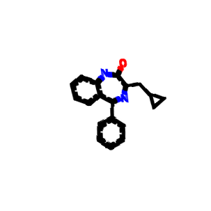 O=c1nc2ccccc2c(-c2ccccc2)nc1CC1CC1